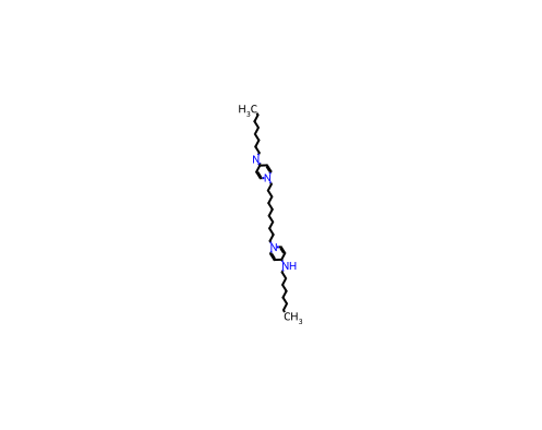 CCCCCCCCN=c1ccn(CCCCCCCCCCN2C=CC(NCCCCCCCC)C=C2)cc1